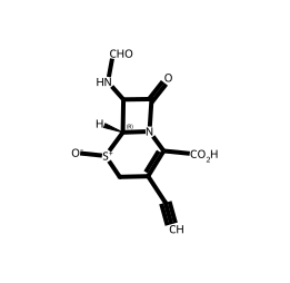 C#CC1=C(C(=O)O)N2C(=O)C(NC=O)[C@H]2[S+]([O-])C1